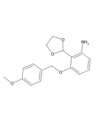 COc1ccc(COc2cccc(N)c2C2OCCO2)cc1